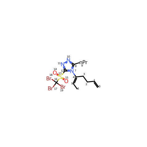 C=CCC/C(=C\C)n1c(CCC)nnc1S(=O)(=O)C(Br)(Br)Br